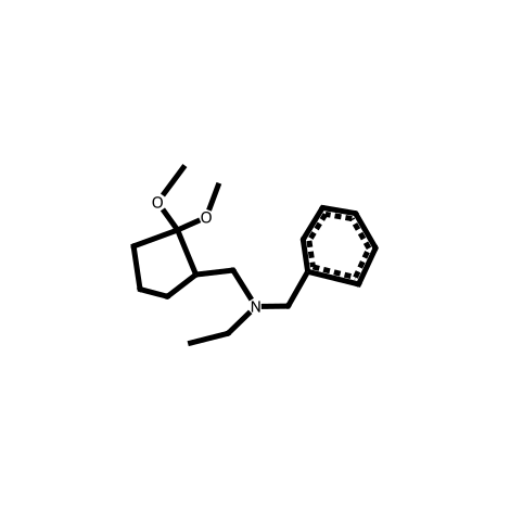 CCN(Cc1ccccc1)CC1CCCC1(OC)OC